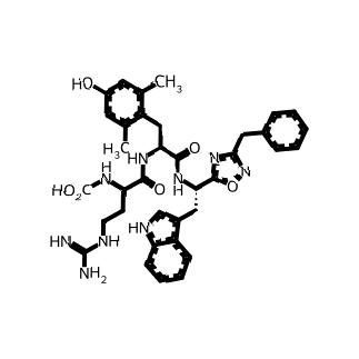 Cc1cc(O)cc(C)c1CC(NC(=O)C(CCNC(=N)N)NC(=O)O)C(=O)N[C@@H](Cc1c[nH]c2ccccc12)c1nc(Cc2ccccc2)no1